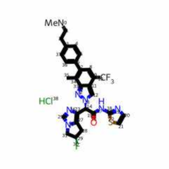 CNCCc1ccc(-c2cc(C(F)(F)F)c3cn([C@@H](C(=O)Nc4nccs4)c4ncn5c4C[C@@H](F)C5)nc3c2C)cc1.Cl